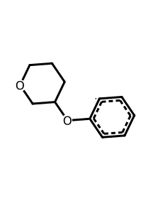 [c]1ccccc1OC1CCCOC1